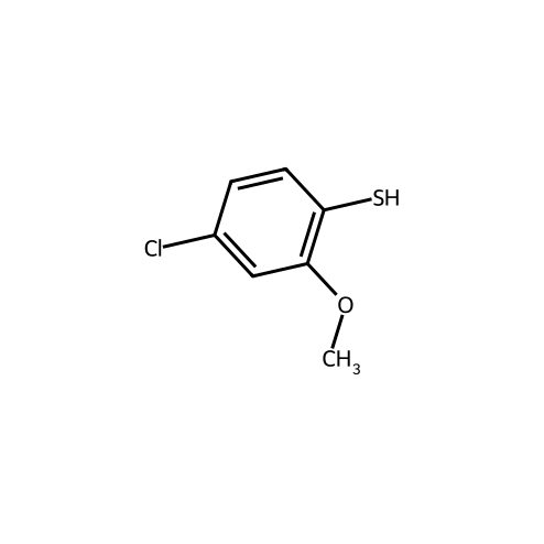 COc1cc(Cl)ccc1S